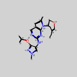 Cc1cc2cnc(Nc3cn(C)nc3OC(C)C)nc2n1C1COCC1C